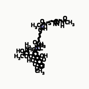 CC/C(=N\NC(=O)CCCCCO/N=C(\C)C(=O)NCSCc1cn(CNC(C)=O)nn1)[C@]1(O)Cc2c(O)c3c(c(O)c2[C@@H](OC2CC(N)C(O)[C@H](C)O2)C1)C(=O)c1c(OC)cccc1C3=O